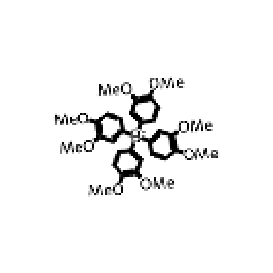 COc1ccc([B-](c2ccc(OC)c(OC)c2)(c2ccc(OC)c(OC)c2)c2ccc(OC)c(OC)c2)cc1OC